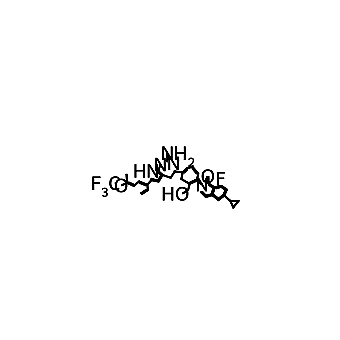 C=C/C(=C\C=C(/C)OC(F)(F)F)c1cc2c([nH]1)N=C(N)N(C)C(C1=CC=CC(n3ccc4cc(C5CC5)cc(F)c4c3=O)=C(CO)C1)C2